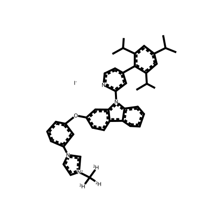 [2H]C([2H])([2H])[n+]1ccn(-c2cccc(Oc3ccc4c5ccccc5n(-c5cc(-c6c(C(C)C)cc(C(C)C)cc6C(C)C)ccn5)c4c3)c2)c1.[I-]